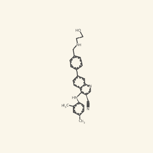 Cc1ccc(Nc2c(C#N)cnc3cc(-c4ccc(CNCCO)cc4)ccc23)c(C)c1